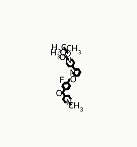 CN1CCC(C(=O)c2ccc(COc3cccc(C4CCN(C(=O)OC(C)(C)C)CC4)n3)c(F)c2)CC1